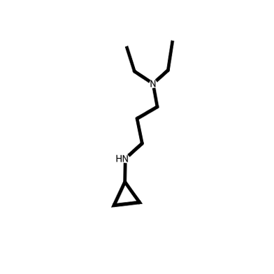 CCN(CC)CCCNC1CC1